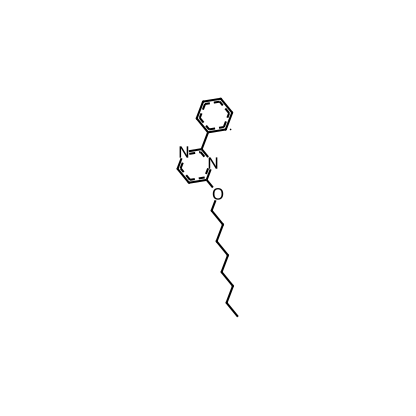 CCCCCCCCOc1ccnc(-c2[c]cccc2)n1